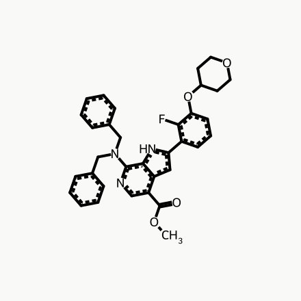 COC(=O)c1cnc(N(Cc2ccccc2)Cc2ccccc2)c2[nH]c(-c3cccc(OC4CCOCC4)c3F)cc12